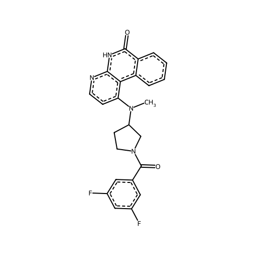 CN(c1ccnc2[nH]c(=O)c3ccccc3c12)C1CCN(C(=O)c2cc(F)cc(F)c2)C1